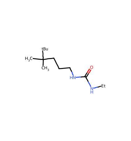 CCNC(=O)NCCCC(C)(C)C(C)(C)C